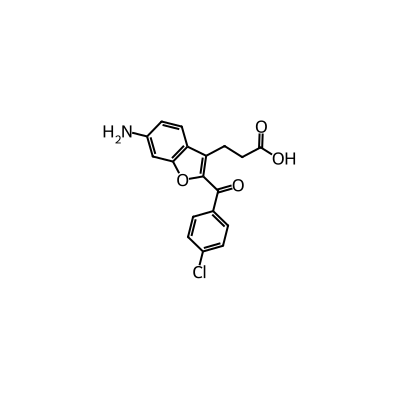 Nc1ccc2c(CCC(=O)O)c(C(=O)c3ccc(Cl)cc3)oc2c1